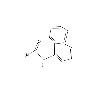 C[C@H](C(N)=O)c1cccc2ccccc12